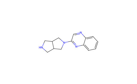 c1ccc2nc(N3CC4CNCC4C3)cnc2c1